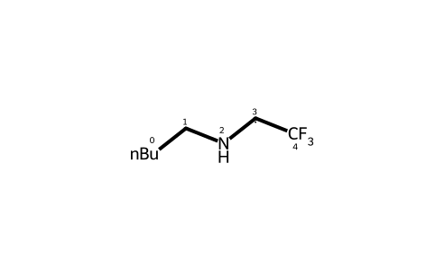 CCCCCN[CH]C(F)(F)F